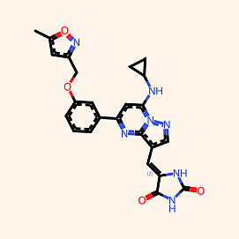 Cc1cc(COc2cccc(-c3cc(NC4CC4)n4ncc(/C=C5\NC(=O)NC5=O)c4n3)c2)no1